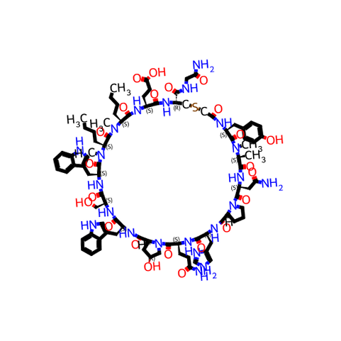 CCCC[C@H]1C(=O)N(C)[C@@H](CCCC)C(=O)N[C@@H](CCC(=O)O)C(=O)N[C@H](C(=O)NCC(N)=O)CSCC(=O)N[C@@H](Cc2ccc(O)cc2)C(=O)N(C)[C@@H](C)C(=O)N[C@@H](CC(N)=O)C(=O)N2CCC[C@H]2C(=O)N[C@@H](Cc2c[nH]cn2)C(=O)N[C@@H](CCC(N)=O)C(=O)N2C[C@H](O)C[C@H]2C(=O)N[C@@H](Cc2c[nH]c3ccccc23)C(=O)N[C@@H](CO)C(=O)N[C@@H](Cc2c[nH]c3ccccc23)C(=O)N1C